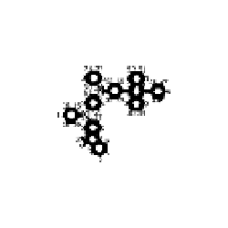 CC1(C)c2ccccc2-c2ccc(N(c3ccccc3)c3ccc(N(c4ccccc4)c4ccc(-c5c6ccccc6c(-c6ccccc6)c6ccccc56)cc4)cc3)cc21